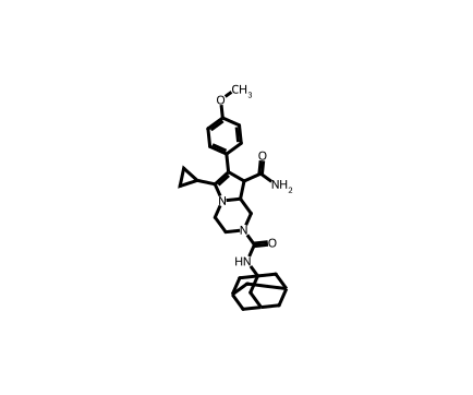 COc1ccc(C2=C(C3CC3)N3CCN(C(=O)NC45CC6CC(CC(C6)C4)C5)CC3C2C(N)=O)cc1